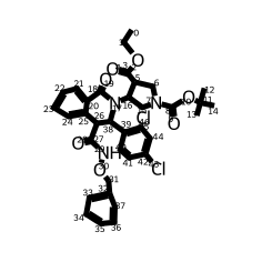 CCOC(=O)C1CN(C(=O)OC(C)(C)C)CC1N1C(=O)c2ccccc2C(C(=O)NOCc2ccccc2)C1c1ccc(Cl)cc1Cl